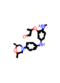 CNc1ccc(Nc2ccc(N3CC(C)OC(C)C3)cc2)cc1OC(C)C=O